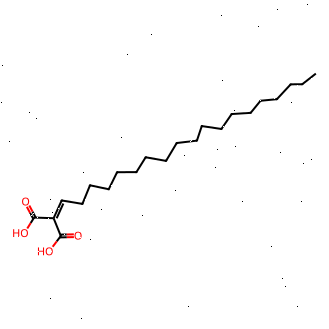 CCCCCCCCCCCCCCCCCCC=C(C(=O)O)C(=O)O